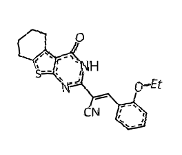 CCOc1ccccc1/C=C(\C#N)c1nc2sc3c(c2c(=O)[nH]1)CCCC3